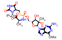 COc1nc(N)nc2c1ncn2[C@@H]1O[C@H](COP(=O)(N[C@@H](C)C(=O)OC(C)C)SCC2C(=O)NC(=O)N2C)[C@@H](O)[C@@]1(C)O